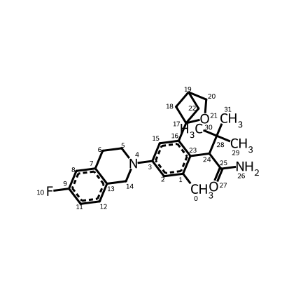 Cc1cc(N2CCc3cc(F)ccc3C2)cc(C23CC(CO2)C3)c1C(C(N)=O)C(C)(C)C